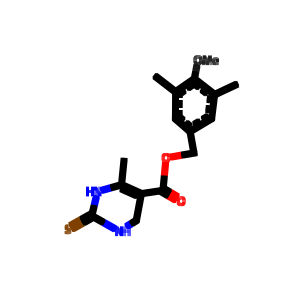 COc1c(C)cc(COC(=O)C2=C(C)NC(=S)NC2)cc1C